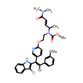 CC/C(=C(/c1ccc(OCCN(C(=O)OC(C)(C)C)C(C)/C=C/C(=O)N(C)C)nc1)c1[nH]c2ccccc2c1Cl)c1cccc(OC)c1